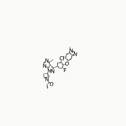 C=CC(=O)N1CC2(n3nc(-c4cc(F)c(Oc5ccc6c(c5)ncn6C)c(Cl)c4)c4c(C)ncnc43)CC1C2